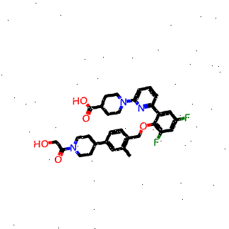 Cc1cc(C2CCN(C(=O)CO)CC2)ccc1COc1c(F)cc(F)cc1-c1cccc(N2CCC(C(=O)O)CC2)n1